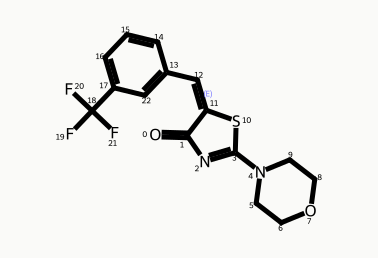 O=C1N=C(N2CCOCC2)S/C1=C/c1cccc(C(F)(F)F)c1